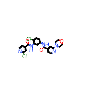 O=C(Nc1ccc(Cl)c(NC(=O)c2ccnc(Cl)c2)c1)c1ccnc(N2CCOCC2)c1